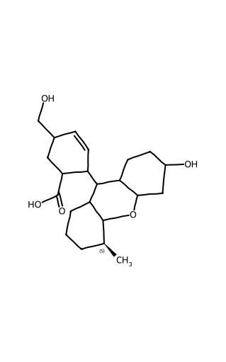 C[C@H]1CCCC2C(C3C=CC(CO)CC3C(=O)O)C3CCC(O)CC3OC21